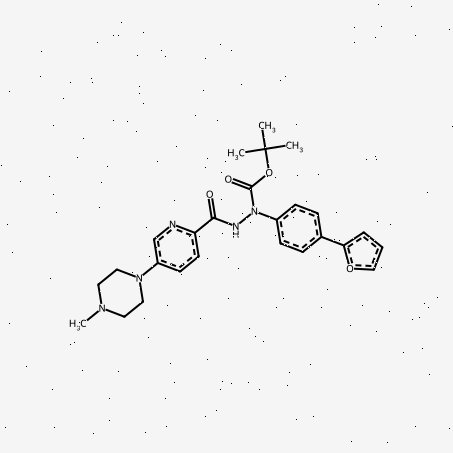 CN1CCN(c2ccc(C(=O)NN(C(=O)OC(C)(C)C)c3ccc(-c4ccco4)cc3)nc2)CC1